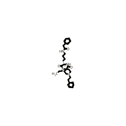 CCCN1C(=O)[C@H](CCCCNC(=O)Cc2ccccc2)NC(=O)C12CCN(CCc1ccccc1)CC2